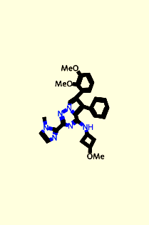 COc1cccc(-c2cn3nc(-c4nccn4C)nc(NC4CC(OC)C4)c3c2-c2ccccc2)c1OC